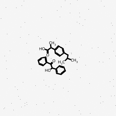 CC(C)Cc1ccc(C(C)C(=O)O)cc1.O=C(c1ccccc1)C(O)c1ccccc1